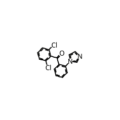 O=C(c1ccccc1-n1ccnc1)c1c(Cl)cccc1Cl